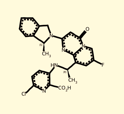 C[C@@H](Nc1ccc(Cl)nc1C(=O)O)c1cc(F)cn2c(=O)cc(N3Cc4ccccc4[C@@H]3C)nc12